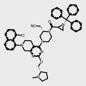 CN1CCC[C@H]1COc1nc2c(c(N3CCN(C(=O)C4C[N@@]4C(c4ccccc4)(c4ccccc4)c4ccccc4)[C@@H](CC#N)C3)n1)CCN(c1cccc3cccc(Cl)c13)C2